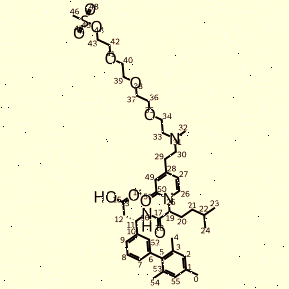 Cc1cc(C)c(-c2cccc([C@H](CC(=O)O)NC(=O)C(CCC(C)C)n3ccc(CCN(C)CCOCCOCCOCCOS(C)(=O)=O)cc3=O)c2)c(C)c1